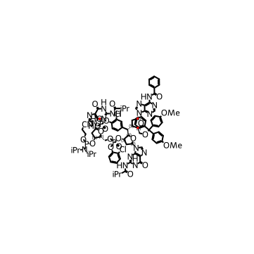 COc1ccc(C(OC[C@@H]2O[C@@H](n3cnc4c(NC(=O)c5ccccc5)ncnc43)C[C@H]2C(c2ccc(OP(=O)(O)O)c(Cl)c2)[C@H]2O[C@@H](n3cnc4c(=O)[nH]c(NC(=O)C(C)C)nc43)C[C@@H]2OP(=O)(OC[C@H]2O[C@@H](n3cnc4c(=O)[nH]c(NC(=O)C(C)C)nc43)C[C@@H]2OP(OCCC#N)N(C(C)C)C(C)C)Oc2ccccc2Cl)(c2ccccc2)c2ccc(OC)cc2)cc1